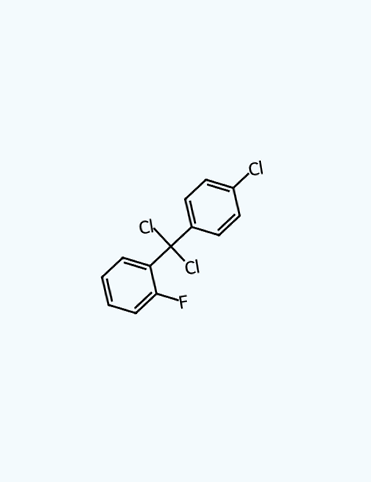 Fc1ccccc1C(Cl)(Cl)c1ccc(Cl)cc1